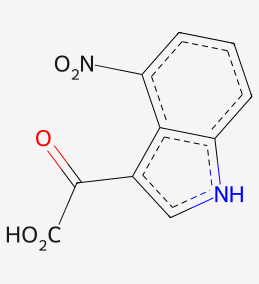 O=C(O)C(=O)c1c[nH]c2cccc([N+](=O)[O-])c12